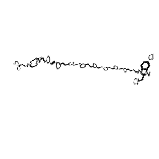 COC(=O)CCN1CCN(CCOCCOCCOCCOCCOCCOCCOCCOCCCCn2c(CCl)nc3cc(Cl)ccc32)CC1